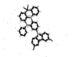 Cc1ccc2c(c1)c1cc(C)ccc1n2-c1ccc2c(c1)B(c1ccccc1)c1cccc3c1N2c1ccccc1C3(C)C